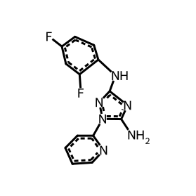 Nc1nc(Nc2ccc(F)cc2F)nn1-c1ccccn1